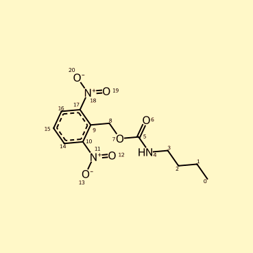 CCCCNC(=O)OCc1c([N+](=O)[O-])cccc1[N+](=O)[O-]